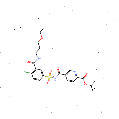 CCOCCCNC(=O)c1cc(S(=O)(=O)NC(=O)c2ccc(C(=O)OC(C)C)nc2)ccc1Cl